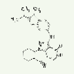 CC(C)N1Cc2cc(Nc3nn(C4CCCCC4C#N)c4cc[nH]c(=O)c34)ccc2C1C